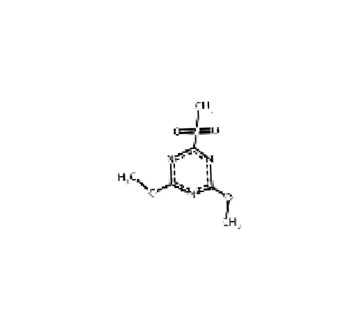 COc1nc(OC)nc(S(C)(=O)=O)n1